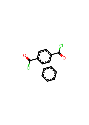 O=C(Cl)c1ccc(C(=O)Cl)cc1.c1ccccc1